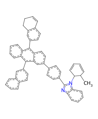 CC1C=CC=CC1n1c(-c2ccc(-c3ccc4c(-c5ccc6c(c5)CCC=C6)c5ccccc5c(-c5ccc6ccccc6c5)c4c3)cc2)nc2ccccc21